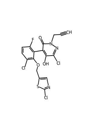 C#CCn1nc(Cl)c(O)c(-c2c(F)ccc(Cl)c2OCc2cnc(Cl)s2)c1=O